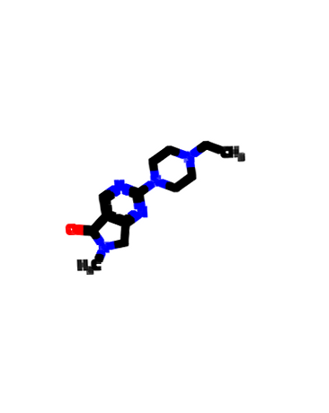 CCN1CCN(c2ncc3c(n2)CN(C)C3=O)CC1